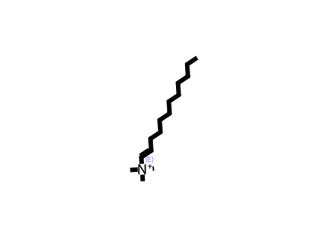 CCCCCCCCCC/C=C/[N+](C)(C)C